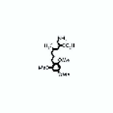 COc1cc(OC)c(CCCC(C)CC(CN)C(=O)O)c(OC)c1